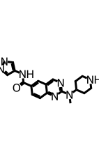 CN(c1ncc2cc(C(=O)Nc3cn[nH]c3)ccc2n1)C1CCNCC1